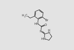 CCc1cccc(Br)c1NC(=O)N=C1NCCN1